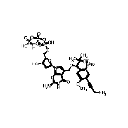 COc1cc([C@@H](OCc2cn([C@H]3C[C@@H](O)[C@@H](COP(=O)(O)OP(=O)(O)OP(=O)(O)O)O3)c3nc(N)[nH]c(=O)c23)C(C)(C)C)c([N+](=O)[O-])cc1C#CCN